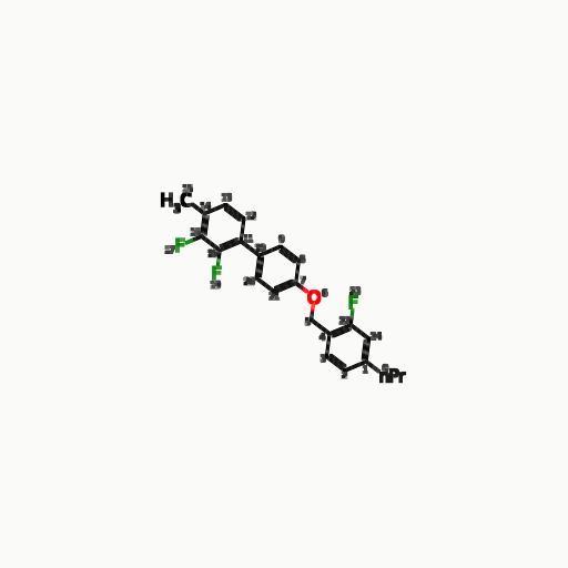 CCCc1ccc(COc2ccc(-c3ccc(C)c(F)c3F)cc2)c(F)c1